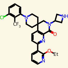 CCOc1ncccc1-c1ccc2c(n1)C(=O)N(C1CNC1)CC21CCN(c2cccc(Cl)c2C(F)(F)F)CC1